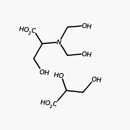 O=C(O)C(CO)N(CO)CO.O=C(O)C(O)CO